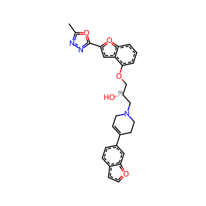 Cc1nnc(-c2cc3c(OC[C@@H](O)CN4CC=C(c5ccc6ccoc6c5)CC4)cccc3o2)o1